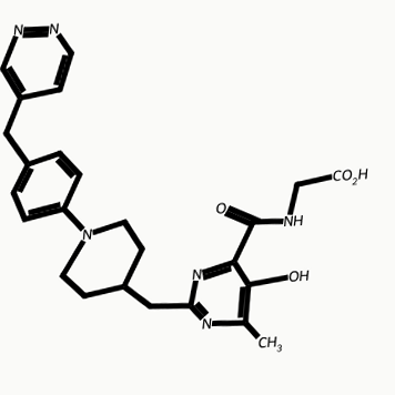 Cc1nc(CC2CCN(c3ccc(Cc4ccnnc4)cc3)CC2)nc(C(=O)NCC(=O)O)c1O